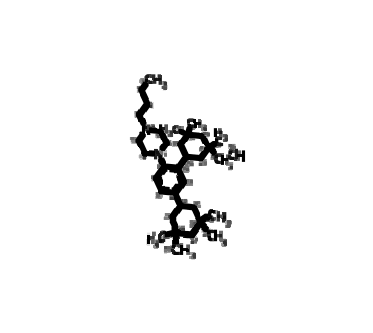 CCCCN1CCN(c2ccc(C3CC(C)(C)CC(C)(C)C3)cc2C2CC(C)(C)CC(C)(C)C2)CC1.Cl